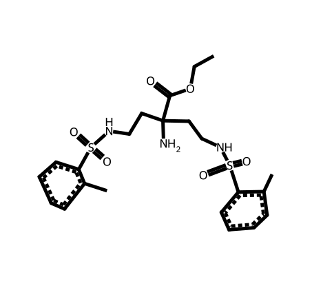 CCOC(=O)C(N)(CCNS(=O)(=O)c1ccccc1C)CCNS(=O)(=O)c1ccccc1C